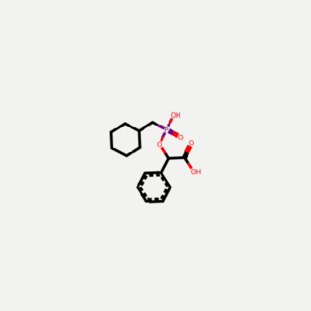 O=C(O)C(OP(=O)(O)CC1CCCCC1)c1ccccc1